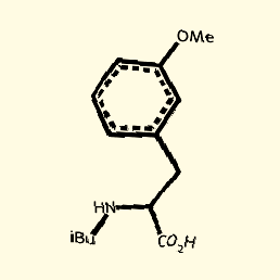 CCC(C)NC(Cc1cccc(OC)c1)C(=O)O